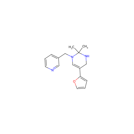 CC1(C)NCC(c2ccco2)=CN1Cc1cccnc1